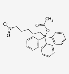 CC(=O)OP(CCCCC[N+](=O)[O-])(c1ccccc1)(c1ccccc1)c1ccccc1